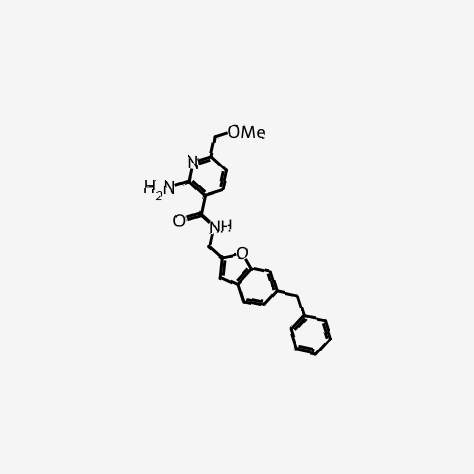 COCc1ccc(C(=O)NCc2cc3ccc(Cc4ccccc4)cc3o2)c(N)n1